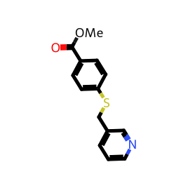 COC(=O)c1ccc(SCc2cccnc2)cc1